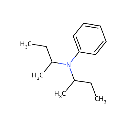 CCC(C)N(c1ccccc1)C(C)CC